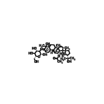 CC(=O)O[C@@H]1C[C@@H]2[C@@]3(C)CC[C@@H](O[C@@H]4[C@@H](O)[C@H](O)[C@@H](CO)O[C@H]4O)C(C)(C)[C@@H]3CC[C@@]2(C)[C@]2(C)CC[C@](O)([C@]3(C)CC[C@H](C(C)(C)O)O3)[C@@H]12